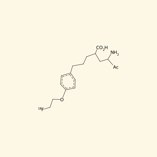 CC(=O)C(N)CC(CCCc1ccc(OCC[18F])cc1)C(=O)O